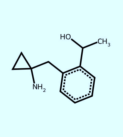 CC(O)c1ccccc1CC1(N)CC1